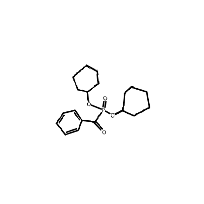 O=C(c1ccccc1)P(=O)(OC1CCCCC1)OC1CCCCC1